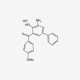 COc1ccc(C(=S)c2cc(-c3ccccc3)cc(N)c2O)cc1.Cl